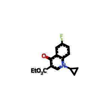 CCOC(=O)c1cn(C2CC2)c2ccc(F)cc2c1=O